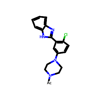 CC(=O)N1CCN(c2ccc(Cl)c(-c3nc4ccccc4[nH]3)c2)CC1